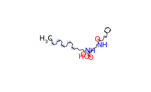 CC/C=C\C/C=C\C/C=C\C/C=C\C/C=C\CCCC(=O)N[C@@H](CCCCNC(=O)C/C=C/c1ccccc1)C(=O)O